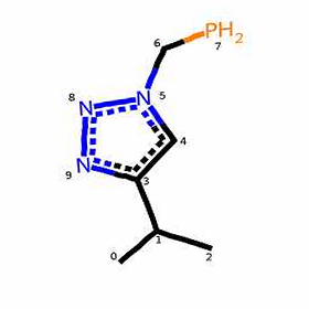 CC(C)c1cn(CP)nn1